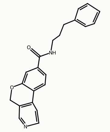 O=C(NCCCc1ccccc1)c1ccc2c(c1)OCc1cnccc1-2